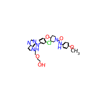 COc1ccc(NC(=O)N2CCC(Oc3ccc(Nc4ncnc5ccn(CCOCCO)c45)cc3Cl)CC2)cc1